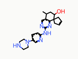 CC1CC(O)C2(CC=CC2)c2nc(Nc3ccc(N4CCNCC4)cn3)ncc21